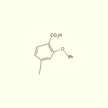 Cc1ccc(C(=O)O)c(OC(C)C)c1